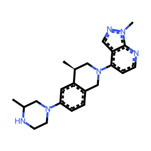 CC1CN(c2ccc3c(c2)[C@@H](C)CN(c2ccnc4c2cnn4C)C3)CCN1